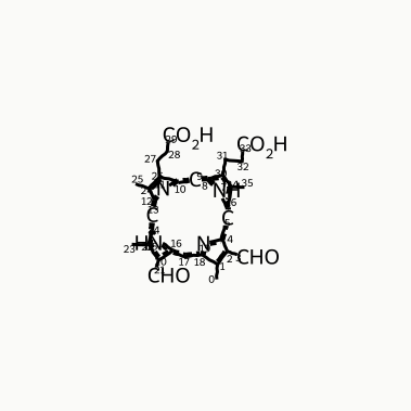 CC1=C(C=O)c2cc3[nH]c(cc4nc(cc5[nH]c(cc1n2)c(C=O)c5C)C(C)=C4CCC(=O)O)c(CCC(=O)O)c3C